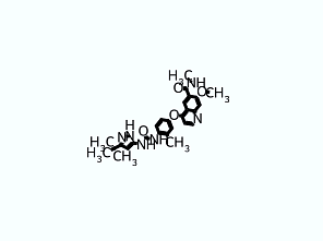 CNC(=O)c1cc2c(Oc3ccc(NC(=O)Nc4cc(C(C)(C)C)n[nH]4)c(C)c3)ccnc2cc1OC